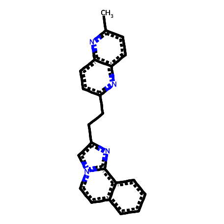 Cc1ccc2nc(CCc3cn4ccc5ccccc5c4n3)ccc2n1